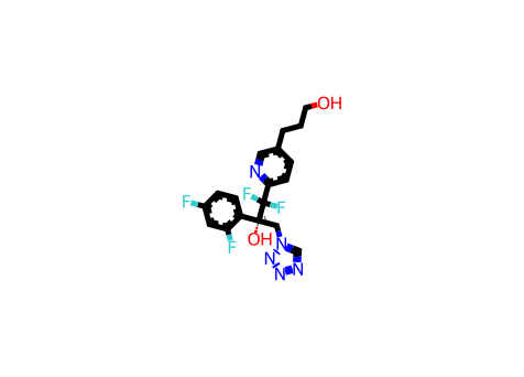 OCCCc1ccc(C(F)(F)[C@@](O)(Cn2cnnn2)c2ccc(F)cc2F)nc1